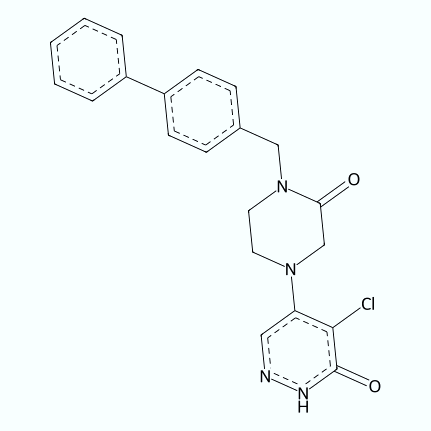 O=C1CN(c2cn[nH]c(=O)c2Cl)CCN1Cc1ccc(-c2ccccc2)cc1